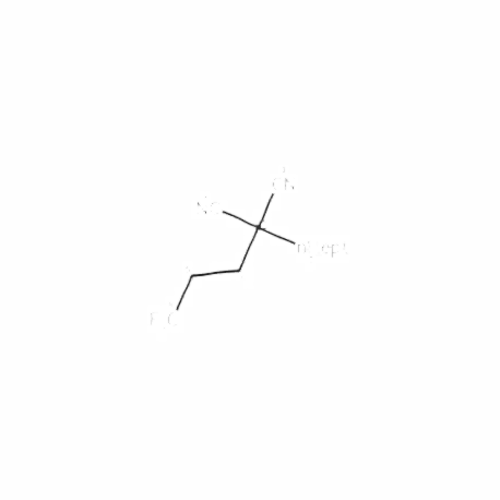 CCCCCCCC(C#N)(C#N)CCC(F)(F)F